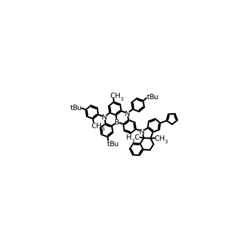 Cc1cc2c3c(c1)N(c1ccc(C(C)(C)C)cc1C)c1ccc(C(C)(C)C)cc1B3c1ccc(N3c4ccc(C5=CC=CC5)cc4C4(C)CCc5ccccc5C34C)cc1N2c1ccc(C(C)(C)C)cc1